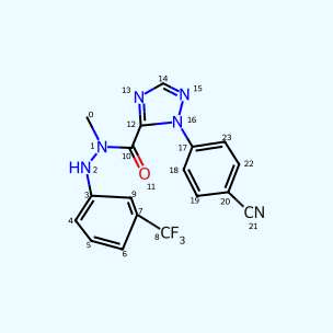 CN(Nc1cccc(C(F)(F)F)c1)C(=O)c1ncnn1-c1ccc(C#N)cc1